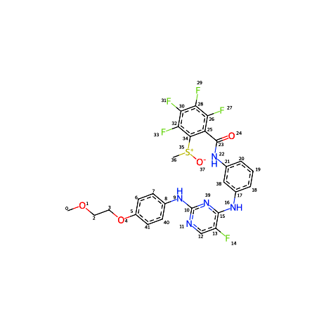 COCCOc1ccc(Nc2ncc(F)c(Nc3cccc(NC(=O)c4c(F)c(F)c(F)c(F)c4[S+](C)[O-])c3)n2)cc1